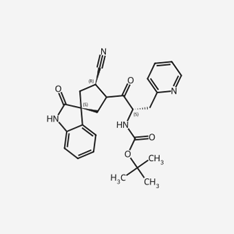 CC(C)(C)OC(=O)N[C@@H](Cc1ccccn1)C(=O)C1C[C@]2(C[C@H]1C#N)C(=O)Nc1ccccc12